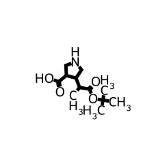 CC(C(=O)OC(C)(C)C)C1CNCC1C(=O)O